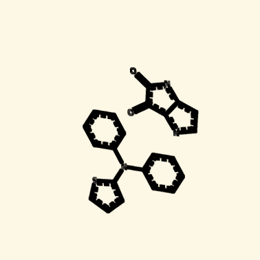 O=c1nc2ccnc-2c1=O.c1ccc(N(c2ccccc2)c2cccs2)cc1